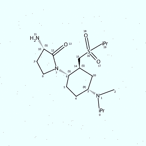 CC(C)N(C)[C@@H]1CC[C@H](N2CC[C@H](N)C2=O)[C@@H](CS(=O)(=O)C(C)C)C1